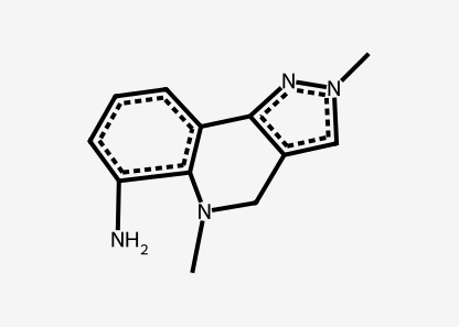 CN1Cc2cn(C)nc2-c2cccc(N)c21